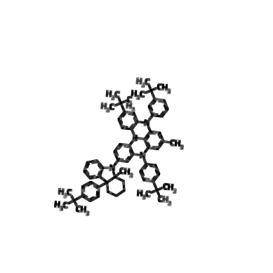 Cc1cc2c3c(c1)N(c1cccc(C(C)(C)C)c1)c1cc(C(C)(C)C)ccc1B3c1ccc(N3c4ccccc4C4(c5ccc(C(C)(C)C)cc5)CCCCC34C)cc1N2c1ccc(C(C)(C)C)cc1